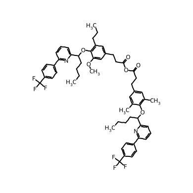 CCCCC(Oc1c(C)cc(CCC(=O)OC(=O)CCc2cc(CCC)c(OC(CCCC)c3cccc(-c4ccc(C(F)(F)F)cc4)n3)c(OC)c2)cc1C)c1cccc(-c2ccc(C(F)(F)F)cc2)n1